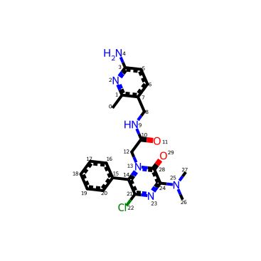 Cc1nc(N)ccc1CNC(=O)Cn1c(-c2ccccc2)c(Cl)nc(N(C)C)c1=O